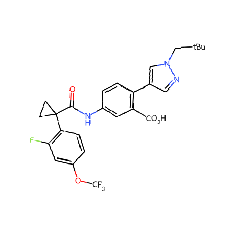 CC(C)(C)Cn1cc(-c2ccc(NC(=O)C3(c4ccc(OC(F)(F)F)cc4F)CC3)cc2C(=O)O)cn1